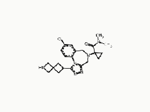 CN(C)C(=O)C1(N2Cc3cc(Cl)ccc3-n3c(nnc3C3CC4(CNC4)C3)C2)CC1